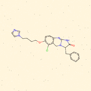 O=C1NC2=Nc3ccc(OCCCCn4ccnc4)c(Cl)c3CN2C1Cc1ccccc1